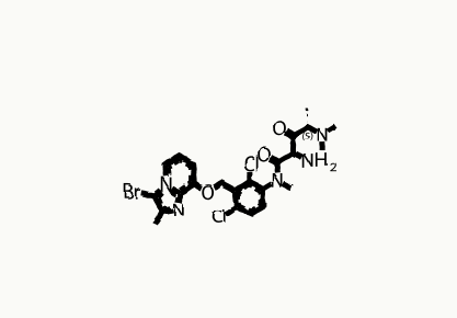 Cc1nc2c(OCc3c(Cl)ccc(N(C)C(=O)C(N)C(=O)[C@H](C)N(C)C)c3Cl)cccn2c1Br